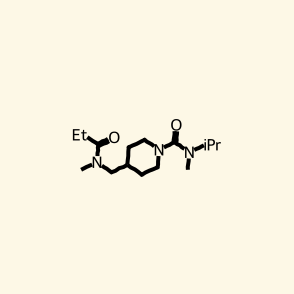 CCC(=O)N(C)CC1CCN(C(=O)N(C)C(C)C)CC1